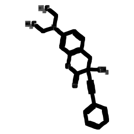 CCN(CC)c1ccc2c(c1)OC(=O)C(C)(C#Cc1ccccc1)C2